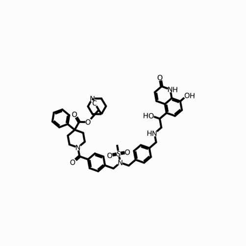 CS(=O)(=O)N(Cc1ccc(CNCC(O)c2ccc(O)c3[nH]c(=O)ccc23)cc1)Cc1ccc(C(=O)N2CCC(C(=O)OC3CN4CCC3CC4)(c3ccccc3)CC2)cc1